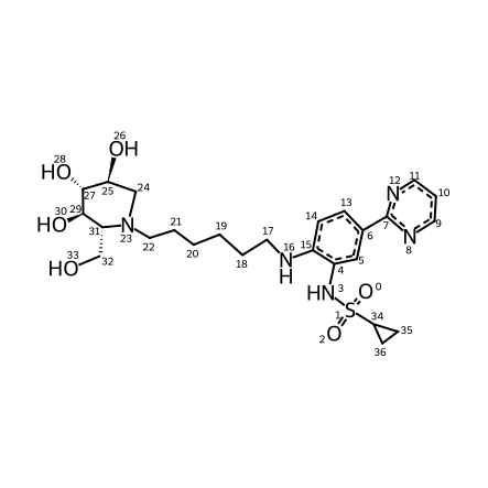 O=S(=O)(Nc1cc(-c2ncccn2)ccc1NCCCCCCN1C[C@H](O)[C@@H](O)[C@H](O)[C@H]1CO)C1CC1